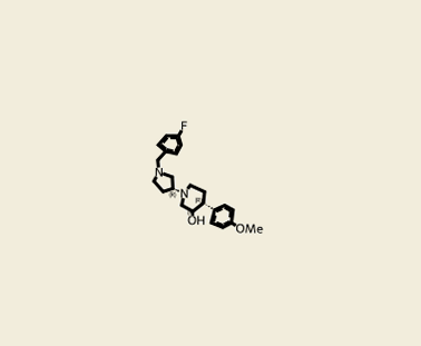 COc1ccc([C@H]2CCN([C@@H]3CCN(Cc4ccc(F)cc4)C3)C[C@@H]2O)cc1